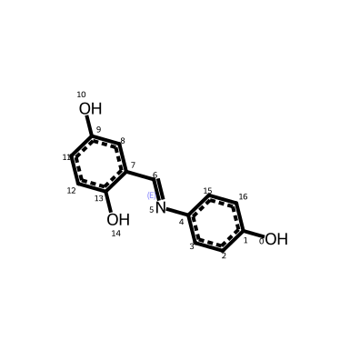 Oc1ccc(/N=C/c2cc(O)ccc2O)cc1